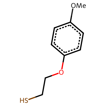 COc1ccc(OCCS)cc1